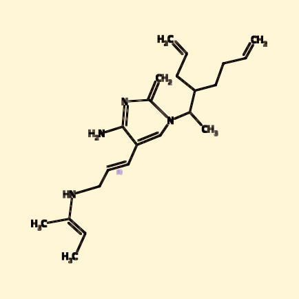 C=CCCC(CC=C)C(C)N1C=C(/C=C/CNC(C)=CC)C(N)=NC1=C